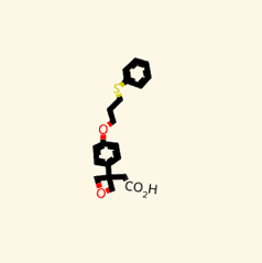 O=C(O)CC1(c2ccc(OCCCSc3ccccc3)cc2)COC1